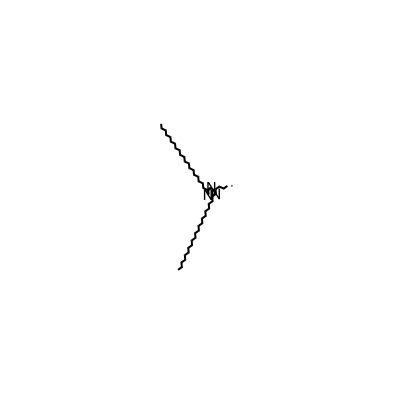 [CH2]CCc1nc(CCCCCCCCCCCCCCCCCCCC)nc(CCCCCCCCCCCCCCCCCCCC)n1